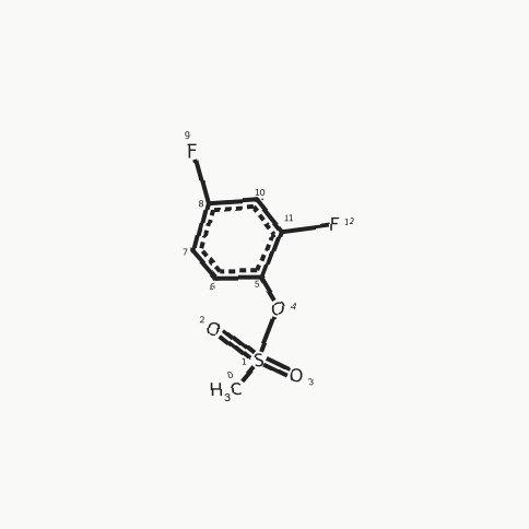 CS(=O)(=O)Oc1ccc(F)[c]c1F